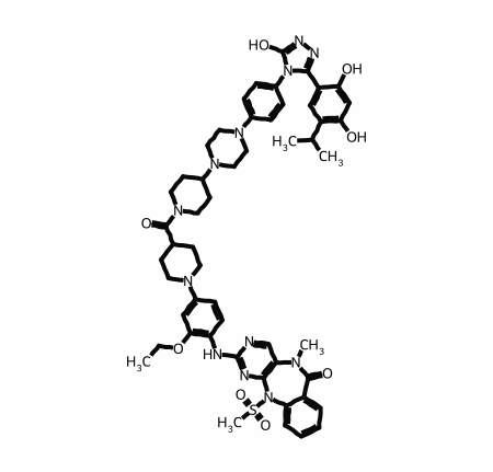 CCOc1cc(N2CCC(C(=O)N3CCC(N4CCN(c5ccc(-n6c(O)nnc6-c6cc(C(C)C)c(O)cc6O)cc5)CC4)CC3)CC2)ccc1Nc1ncc2c(n1)N(S(C)(=O)=O)c1ccccc1C(=O)N2C